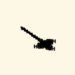 CCCCCCCCCCCCCCCCOc1cc(S(=O)(=O)O)c2ccc3c(S(=O)(=O)O)cc(S(=O)(=O)O)c4ccc1c2c43